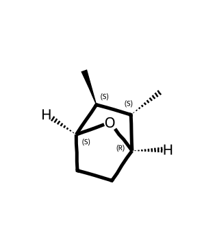 C[C@H]1[C@H](C)[C@H]2CC[C@@H]1O2